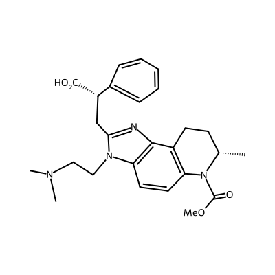 COC(=O)N1c2ccc3c(nc(C[C@H](C(=O)O)c4ccccc4)n3CCN(C)C)c2CC[C@@H]1C